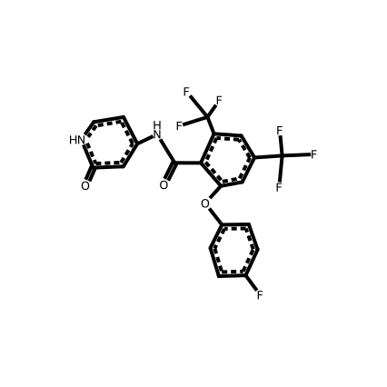 O=C(Nc1cc[nH]c(=O)c1)c1c(Oc2ccc(F)cc2)cc(C(F)(F)F)cc1C(F)(F)F